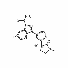 CN1CC[C@@](O)(c2cccc(-n3nc(C(N)=O)c4cc(F)cnc43)c2)C1=O